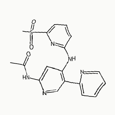 CC(=O)Nc1cc(Nc2cccc(S(C)(=O)=O)n2)c(-c2ccccn2)cn1